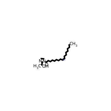 CCCCCCCC/C=C\CCCCCCCC(=O)N1CCN=C1C(C)O